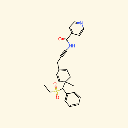 CCS(=O)(=O)C(c1ccccc1)C1(C)C=CC(CC#CNC(=O)c2ccncc2)=CC1